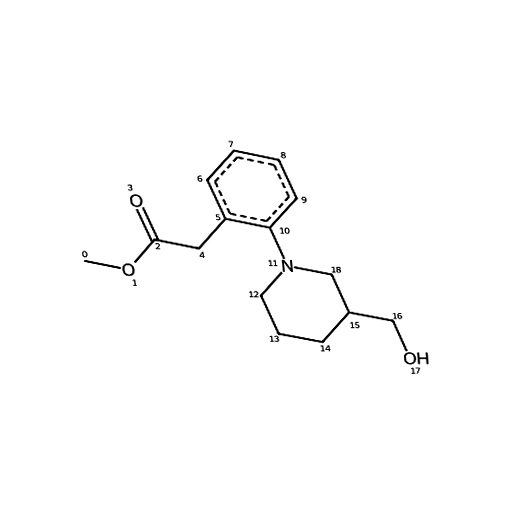 COC(=O)Cc1ccccc1N1CCCC(CO)C1